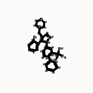 Fc1ccccc1-c1c(CN2CCOCC2)cnn1-c1ccc(-c2ccccc2)c(C(F)(F)F)c1